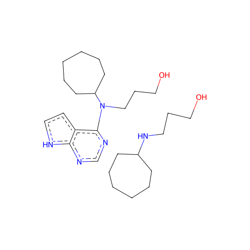 OCCCN(c1ncnc2[nH]ccc12)C1CCCCCC1.OCCCNC1CCCCCC1